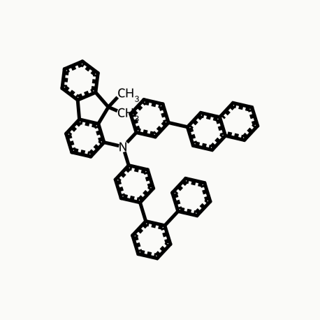 CC1(C)c2ccccc2-c2cccc(N(c3ccc(-c4ccccc4-c4ccccc4)cc3)c3cccc(-c4ccc5ccccc5c4)c3)c21